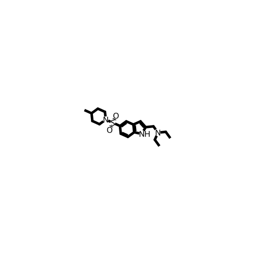 CCN(CC)Cc1cc2cc(S(=O)(=O)N3CCC(C)CC3)ccc2[nH]1